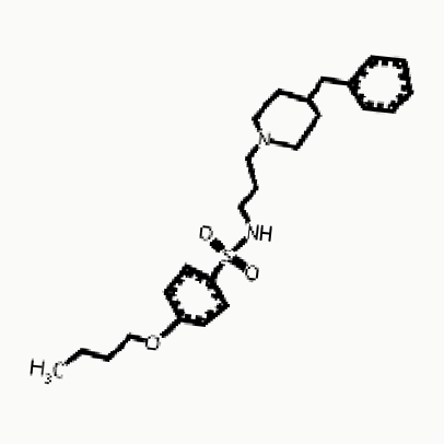 CCCCOc1ccc(S(=O)(=O)NCCCN2CCC(Cc3ccccc3)CC2)cc1